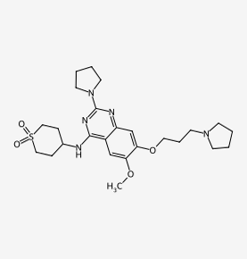 COc1cc2c(NC3CCS(=O)(=O)CC3)nc(N3CCCC3)nc2cc1OCCCN1CCCC1